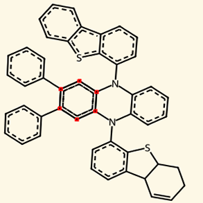 C1=CC2c3cccc(N(c4ccc(-c5ccccc5)cc4)c4ccccc4N(c4ccc(-c5ccccc5)cc4)c4cccc5c4sc4ccccc45)c3SC2CC1